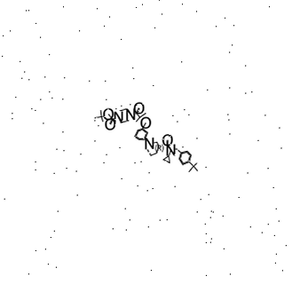 CC(C)(C)OC(=O)N1CCN(C(=O)C(C)(C)Oc2cccc(N3CCC[C@@H](C(=O)N(Cc4ccc(C(C)(C)C)cc4)C4CC4)C3)c2)CC1